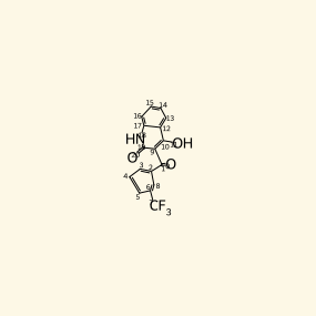 O=C(c1cccc(C(F)(F)F)c1)c1c(O)c2ccccc2[nH]c1=O